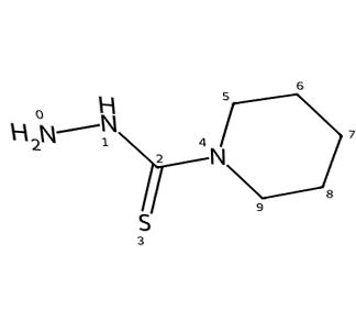 NNC(=S)N1CCCCC1